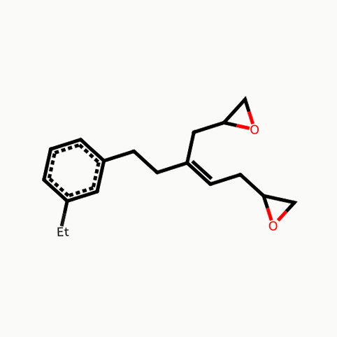 CCc1cccc(CC/C(=C/CC2CO2)CC2CO2)c1